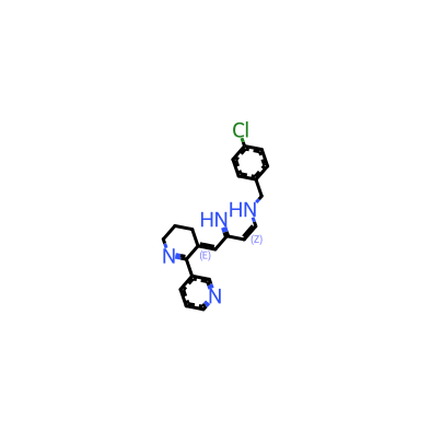 N=C(/C=C\NCc1ccc(Cl)cc1)/C=C1\CCCN=C1c1cccnc1